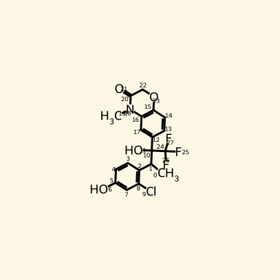 CC(c1ccc(O)cc1Cl)C(O)(c1ccc2c(c1)N(C)C(=O)CO2)C(F)(F)F